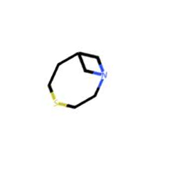 C1CC2CN(CCS1)C2